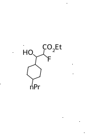 CCCC1CCC(C(O)C(F)C(=O)OCC)CC1